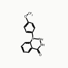 O=C1NNN(c2ccc(OC(F)(F)F)cc2)c2ccccc21